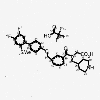 CSc1cc(F)c(F)cc1-c1ccc(OCc2cccc(C(=O)N(CC(=O)O)CC3CCNCC3)c2)cc1.O=C(O)C(F)(F)F